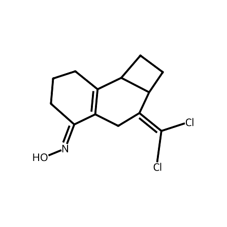 O/N=C1\CCCC2=C1CC(=C(Cl)Cl)C1CCC21